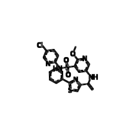 C=C(Nc1cnc(OC)c(S(=O)(=O)Nc2ccc(Cl)cn2)c1)c1csc(-c2ccccc2)n1